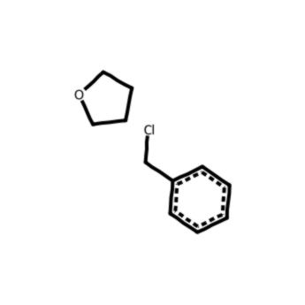 C1CCOC1.ClCc1ccccc1